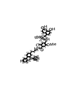 COc1cc(C(=O)NCCCCc2ccc(-c3ccccc3)c(N(C(=O)O)C34CCN(CC3)CC4)c2)c(Cl)cc1CNC[C@H](O[Si](C)(C)C(C)(C)C)c1ccc(O)c2[nH]c(=O)ccc12